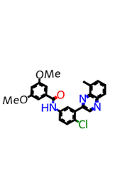 COc1cc(OC)cc(C(=O)Nc2ccc(Cl)c(-c3cnc4cccc(C)c4n3)c2)c1